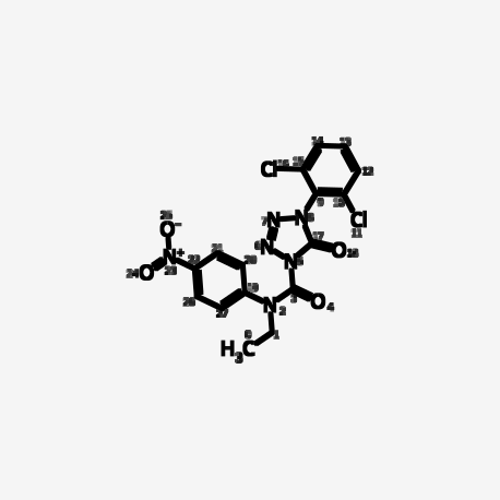 CCN(C(=O)n1nnn(-c2c(Cl)cccc2Cl)c1=O)c1ccc([N+](=O)[O-])cc1